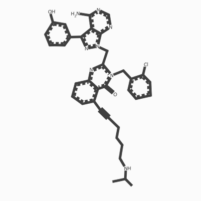 CC(C)NCCCCC#Cc1cccc2nc(Cn3nc(-c4cccc(O)c4)c4c(N)ncnc43)n(Cc3ccccc3Cl)c(=O)c12